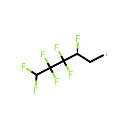 [CH2]C[C@H](F)C(F)(F)C(F)(F)C(F)F